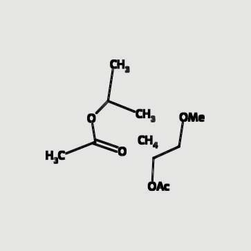 C.CC(=O)OC(C)C.COCCOC(C)=O